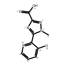 Cn1nc(C(=O)O)nc1-c1ncccc1Cl